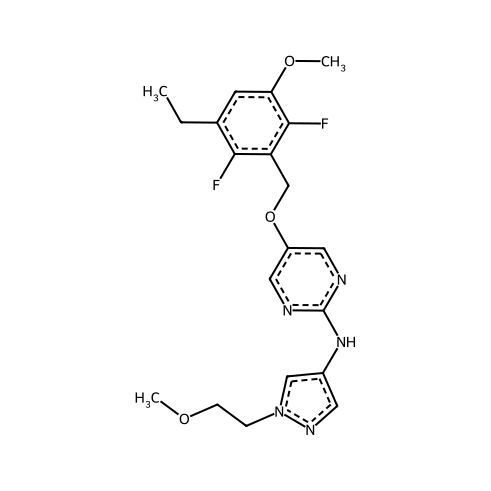 CCc1cc(OC)c(F)c(COc2cnc(Nc3cnn(CCOC)c3)nc2)c1F